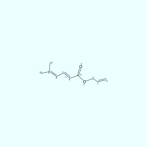 C=CCOC(=O)/C=C/C=C(C)C